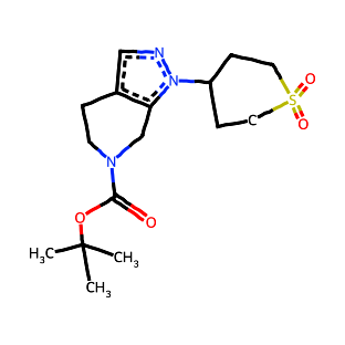 CC(C)(C)OC(=O)N1CCc2cnn(C3CCS(=O)(=O)CC3)c2C1